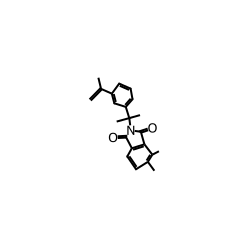 C=C(C)c1cccc(C(C)(C)N2C(=O)c3ccc(C)c(C)c3C2=O)c1